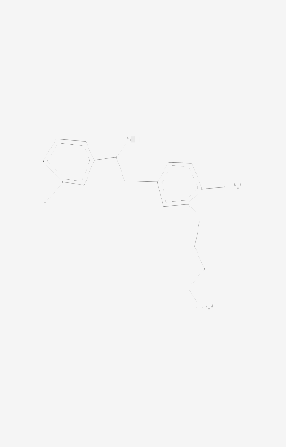 COCCCOc1cc(CC(N)c2cccc(Cl)c2)ccc1OC